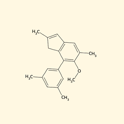 COc1c(C)cc2c(c1-c1cc(C)cc(C)c1)CC(C)=C2